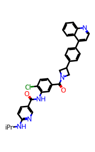 CC(C)Nc1ccc(C(=O)Nc2cc(C(=O)N3CC(c4ccc(-c5ccnc6ccccc56)cc4)C3)ccc2Cl)cn1